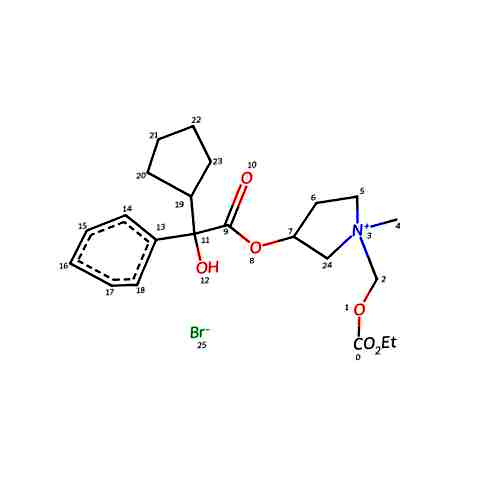 CCOC(=O)OC[N+]1(C)CCC(OC(=O)C(O)(c2ccccc2)C2CCCC2)C1.[Br-]